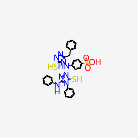 O=S(=O)(O)c1ccc(Nn2c(S)nnc2Cc2ccccc2)cc1.Sc1nnc(Nc2ccccc2)n1-c1ccccc1